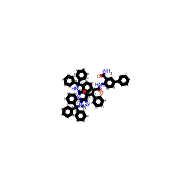 NC(=O)c1cc(-c2ccccc2)ccc1NC(=O)CC(c1ccccc1)c1cc(NC(c2ccccc2)(c2ccccc2)c2ccccc2)nc2c1nnn2C(c1ccccc1)(c1ccccc1)c1ccccc1